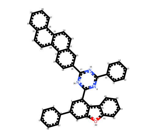 c1ccc(-c2cc(-c3nc(-c4ccccc4)nc(-c4ccc5c(ccc6c7ccccc7ccc56)c4)n3)c3c(c2)oc2ccccc23)cc1